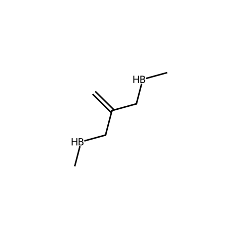 C=C(CBC)CBC